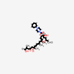 CCC(O)C(C)C1OC1CC(C)(O)/C=C/C=C(\C)CC(C)/C=C/C(OC(=O)N1CCN(C2CCCCCC2)CC1)C(C)(O)CCC(O)CC=O